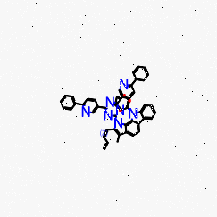 C=C/C=C\c1c(C)c2ccc3c4ccccc4n(-c4ccccc4)c3c2n1-c1nc(-c2ccc(-c3ccccc3)nc2)nc(-c2ccc(-c3ccccc3)nc2)n1